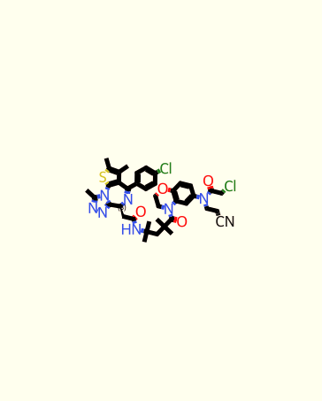 Cc1sc2c(c1C)C(c1ccc(Cl)cc1)=N[C@@H](CC(=O)NC(C)(C)CC(C)(C)C(=O)N1CCOc3ccc(N(CCC#N)C(=O)CCl)cc31)c1nnc(C)n1-2